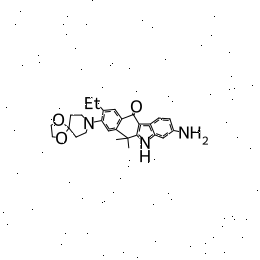 CCc1cc2c(cc1N1CCC3(CC1)OCCO3)C(C)(C)c1[nH]c3cc(N)ccc3c1C2=O